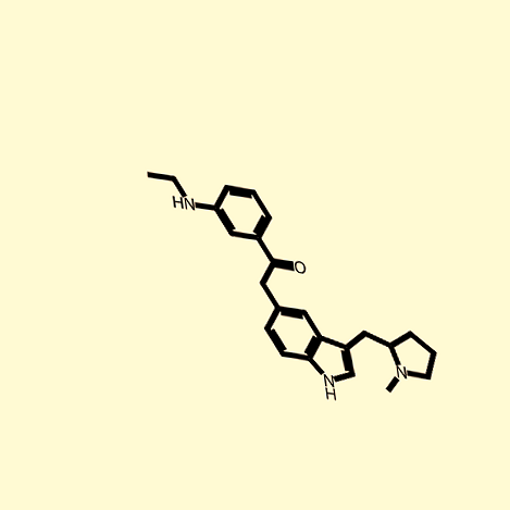 CCNc1cccc(C(=O)Cc2ccc3[nH]cc(CC4CCCN4C)c3c2)c1